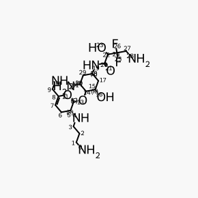 NCCCN[C@@H]1CC=C(CN)O[C@@H]1OC1[C@H](O)C[C@H](NC(=O)C(O)C(F)(F)CN)C[C@@H]1N